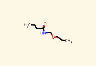 CCCOCNC(=O)CCC